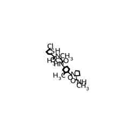 CNC(=O)[C@@H]1CCCN1C(=O)c1ccc(NC(=O)C(C)(C)NC(=O)c2ccc(Cl)s2)cc1C